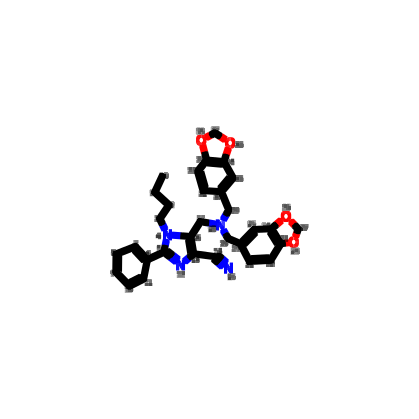 CCCCn1c(-c2ccccc2)nc(C#N)c1CN(Cc1ccc2c(c1)OCO2)Cc1ccc2c(c1)OCO2